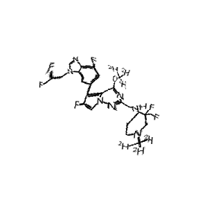 [2H]C([2H])([2H])Oc1nc(N[C@@H]2CCN(C([2H])([2H])[2H])CC2(F)F)nn2cc(F)c(-c3cc(F)c4ncn(CC(F)F)c4c3)c12